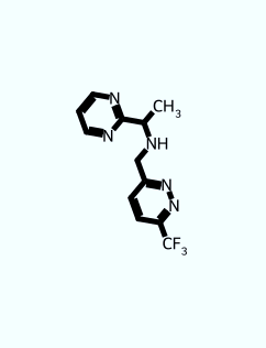 CC(NCc1ccc(C(F)(F)F)nn1)c1ncccn1